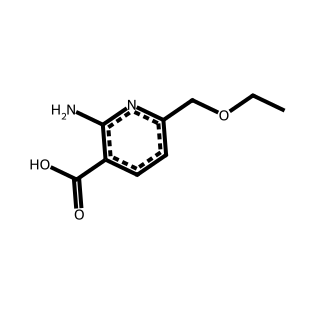 CCOCc1ccc(C(=O)O)c(N)n1